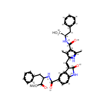 COC(=O)C(Cc1ccccc1)NC(=O)c1ccc2c(c1)/C(=C/c1[nH]c(C)c(C(=O)N[C@H](Cc3ccccc3)C(=O)O)c1C)C(=O)N2